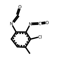 Cc1ccc(N=C=O)c(N=C=O)c1Cl